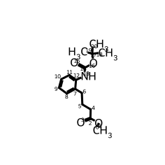 COC(=O)CCCc1ccccc1NC(=O)OC(C)(C)C